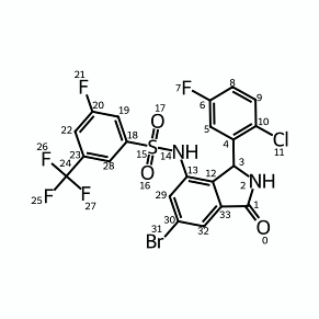 O=C1NC(c2cc(F)ccc2Cl)c2c(NS(=O)(=O)c3cc(F)cc(C(F)(F)F)c3)cc(Br)cc21